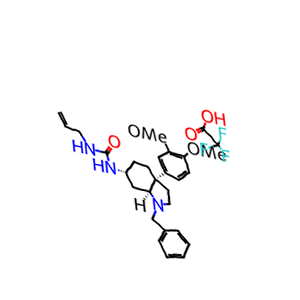 C=CCNC(=O)N[C@@H]1CC[C@@]2(c3ccc(OC)c(OC)c3)CCN(Cc3ccccc3)[C@H]2C1.O=C(O)C(F)(F)F